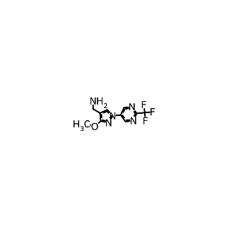 COc1nn(-c2cnc(C(F)(F)F)nc2)cc1CN